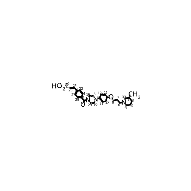 CC1CCCN(CCCOc2ccc(N3CCN(C(=O)c4ccc(/C=C/C(=O)O)cc4)CC3)cc2)C1